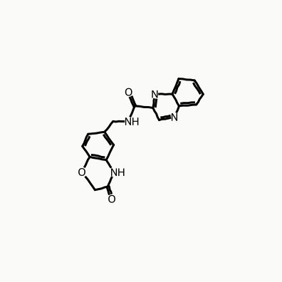 O=C1COc2ccc(CNC(=O)c3cnc4ccccc4n3)cc2N1